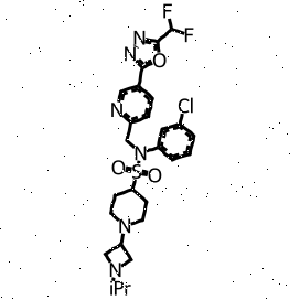 CC(C)N1CC(N2CCC(S(=O)(=O)N(Cc3ccc(-c4nnc(C(F)F)o4)cn3)c3cccc(Cl)c3)CC2)C1